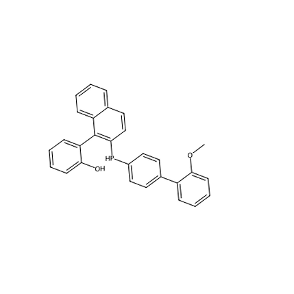 COc1ccccc1-c1ccc(Pc2ccc3ccccc3c2-c2ccccc2O)cc1